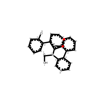 O=C(O)N(c1cnccc1-c1ccccc1Cl)c1cnccc1-c1ccccc1Cl